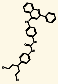 O=C(Nc1ccc(Nc2cc(-c3ccccc3)nc3ccccc23)cc1)Nc1ccc(N(CCCl)CCCl)cc1